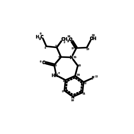 CCC(C)C1C(=O)Nc2cncc(F)c2CN1C(=O)CO